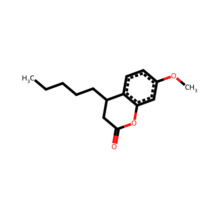 CCCCCC1CC(=O)Oc2cc(OC)ccc21